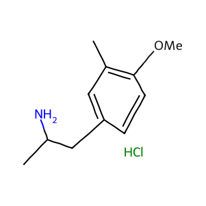 COc1ccc(CC(C)N)cc1C.Cl